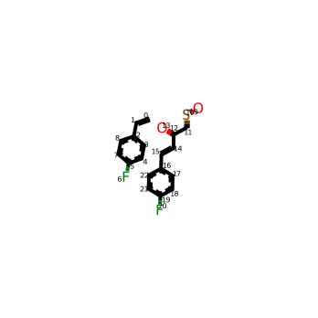 C=Cc1ccc(F)cc1.O=S=CC(=O)C=Cc1ccc(F)cc1